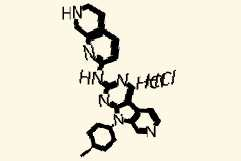 C[C@H]1CC[C@H](n2c3cnccc3c3cnc(Nc4ccc5c(n4)CNCC5)nc32)CC1.Cl.Cl